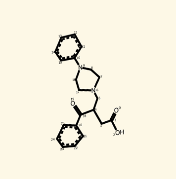 O=C(O)CC(CN1CCN(c2ccccc2)CC1)C(=O)c1ccccc1